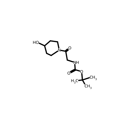 CC(C)(C)OC(=O)NCC(=O)N1CCC(O)CC1